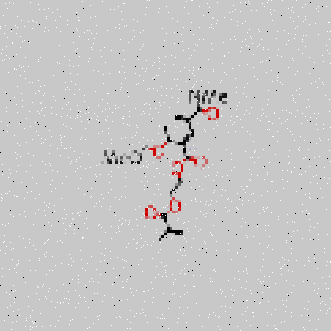 C=C(C)C(=O)OCCOC(=O)/C(=C/C(=C)C(=O)NC)C(C)OCOC